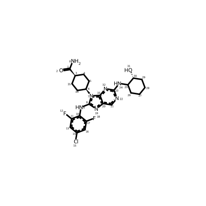 NC(=O)[C@H]1CC[C@@H](n2c(Nc3c(F)cc(Cl)cc3F)nc3cnc(NC4CCCC[C@H]4O)nc32)CC1